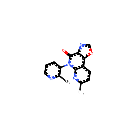 O=c1c2ncoc2c2ccc(C(F)(F)F)nc2n1-c1cccnc1C(F)(F)F